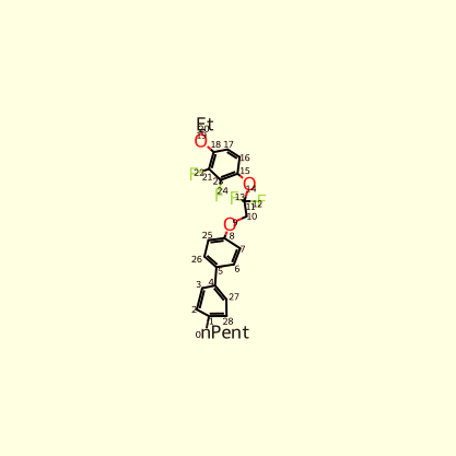 CCCCCc1ccc(-c2ccc(OCC(F)(F)Oc3ccc(OCC)c(F)c3F)cc2)cc1